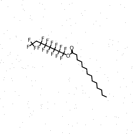 CCCCCCCCCCCCCC(=O)OC(F)(F)C(F)(F)C(F)(F)C(F)(F)C(F)(F)C(F)(F)CC(F)(F)F